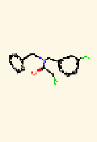 O=C(CCl)N(Cc1ccccc1)Cc1cccc(Cl)c1